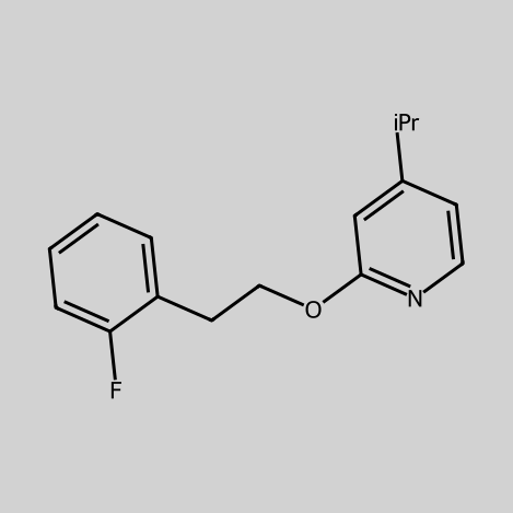 CC(C)c1ccnc(OCCc2ccccc2F)c1